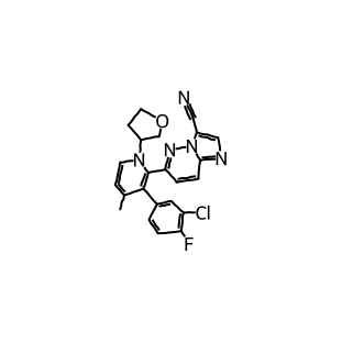 CC1=C=CN(C2CCOC2)C(c2ccc3ncc(C#N)n3n2)=C1c1ccc(F)c(Cl)c1